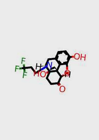 O=C1CCC2(O)[C@H]3Cc4ccc(O)c5c4[C@@]2(CCN3CCC(F)(F)F)[C@H]1O5